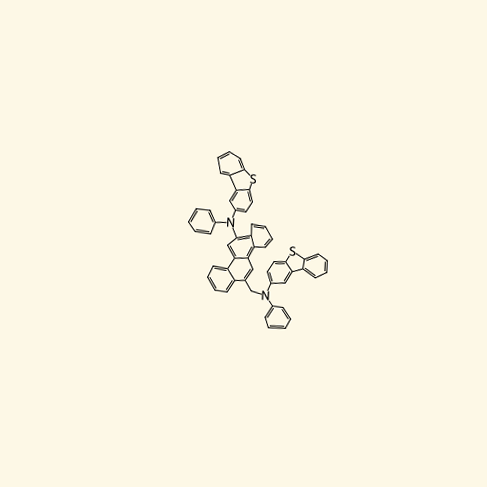 c1ccc(N(Cc2cc3c4ccccc4c(N(c4ccccc4)c4ccc5sc6ccccc6c5c4)cc3c3ccccc23)c2ccc3sc4ccccc4c3c2)cc1